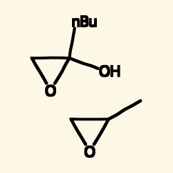 CC1CO1.CCCCC1(O)CO1